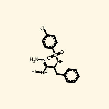 CCN/C(=N\N)C(Cc1ccccc1)NS(=O)(=O)c1ccc(Cl)cc1